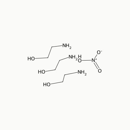 NCCO.NCCO.NCCO.O=[N+]([O-])O